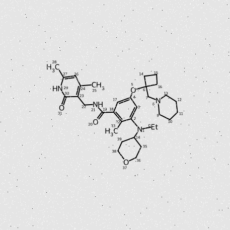 CCN(c1cc(OC2(CN3CCCCC3)CCC2)cc(C(=O)NCc2c(C)cc(C)[nH]c2=O)c1C)C1CCOCC1